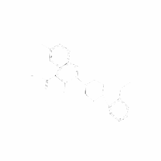 COC(=O)c1c(C)c(N2CCN(c3ccccc3OC)CC2)nc2ccc(F)cc12